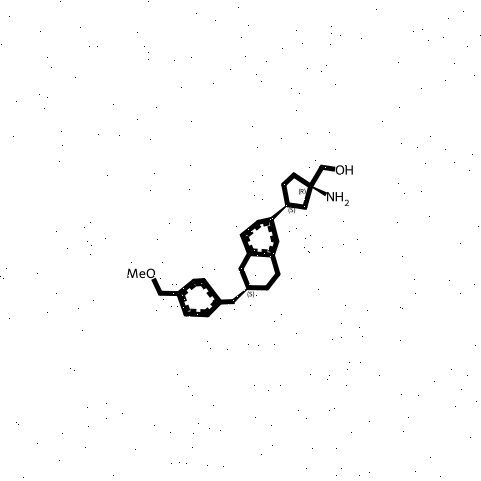 COCc1ccc(C[C@@H]2CCc3cc([C@H]4CC[C@](N)(CO)C4)ccc3C2)cc1